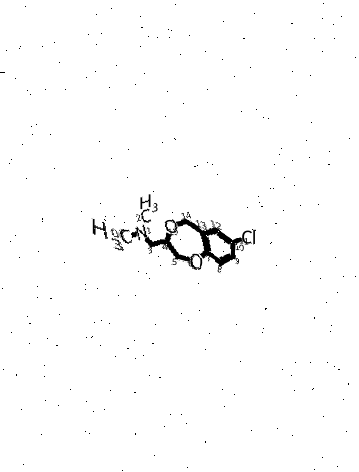 CN(C)CC1COc2ccc(Cl)cc2CO1